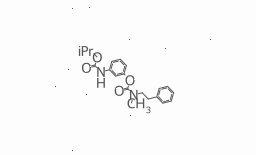 CC(C)OC(=O)Nc1cccc(OC(=O)N(C)CCc2ccccc2)c1